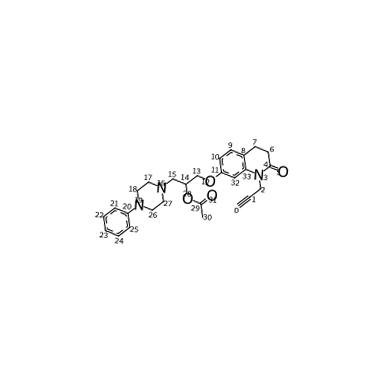 C#CCN1C(=O)CCc2ccc(OCC(CN3CCN(c4ccccc4)CC3)OC(C)=O)cc21